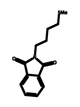 CSCCCCN1C(=O)c2ccccc2C1=O